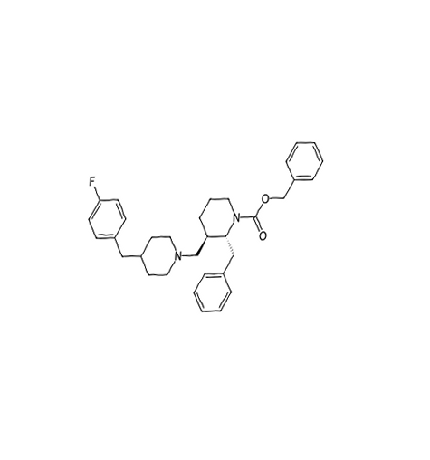 O=C(OCc1ccccc1)N1CCC[C@H](CN2CCC(Cc3ccc(F)cc3)CC2)[C@H]1Cc1ccccc1